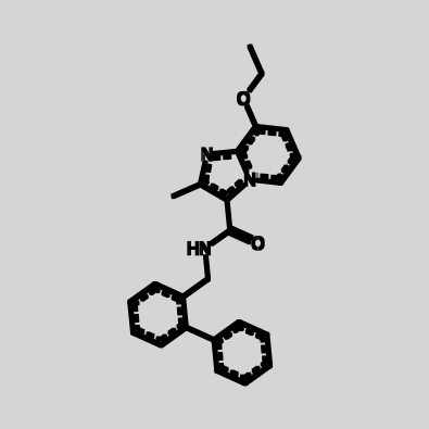 CCOc1cccn2c(C(=O)NCc3ccccc3-c3ccccc3)c(C)nc12